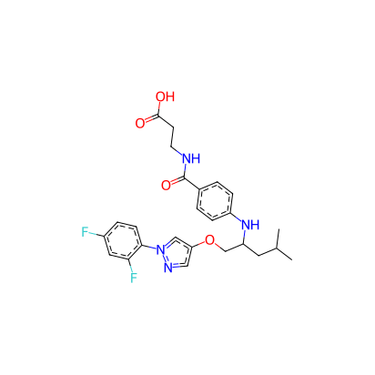 CC(C)CC(COc1cnn(-c2ccc(F)cc2F)c1)Nc1ccc(C(=O)NCCC(=O)O)cc1